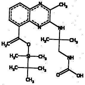 C=C(O[Si](C)(C)C(C)(C)C)c1cccc2nc(C)c(NC(C)(C)CNC(=O)O)nc12